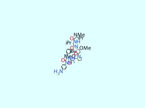 CC[C@H](C)[C@@H]([C@@H](CC(=O)N1CCC[C@H]1[C@H](OC)[C@@H](C)C(=O)N[C@@H](Cc1ccccc1)C(=O)Nc1ccc(N)cc1)OC)N(C)C(=O)[C@@H](NC(=O)[C@@H](NC)C(C)C)C(C)C